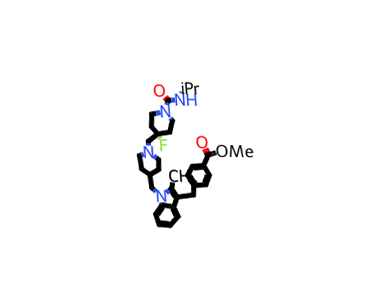 COC(=O)c1ccc(Cc2c(C)n(CC3CCN(CC4(F)CCN(C(=O)NC(C)C)CC4)CC3)c3ccccc23)cc1